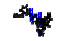 CSc1ccccc1CNc1ncc(C#N)c(NC[C@]23CC4C[C@H](C2)[C@@H](NC2CCN(C(C)C)CC2)[C@@H](C4)C3)n1